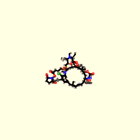 COc1cc2cc(c1Cl)N(C)C(=O)C[C@H](OC(=O)[C@H](C)N(C)C(CCSSCCCC(=O)ON1C(=O)CCC1=O)C(F)(F)F)[C@]1(C)O[C@H]1C1(C)C[C@]13C[C@@](O)(NC(=O)O3)[C@H](OC)/C=C/C=C(\C)C2